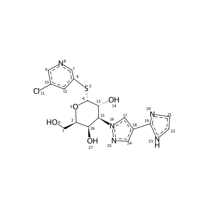 OC[C@H]1O[C@H](Sc2cncc(Cl)c2)[C@H](O)[C@@H](n2cc(-c3ncc[nH]3)cn2)[C@H]1O